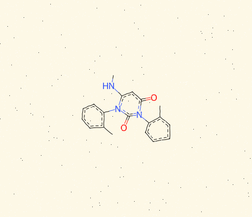 CNc1cc(=O)n(-c2ccccc2C)c(=O)n1-c1ccccc1C